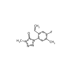 C=Cc1cc(F)c(C)cc1-n1nnn(C)c1=O